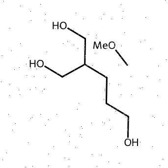 COC.OCCCC(CO)CO